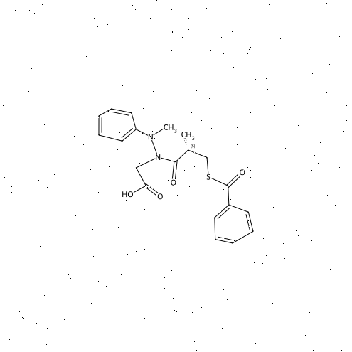 C[C@H](CSC(=O)c1ccccc1)C(=O)N(CC(=O)O)N(C)c1ccccc1